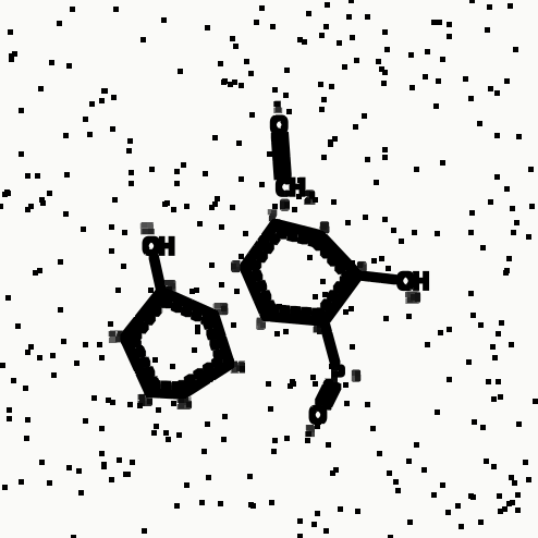 C=O.O=Pc1ccccc1O.Oc1ccccc1